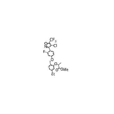 CCc1ccc(COc2ccc(-c3noc(C(F)(F)F)c3Cl)c(F)c2)c(OC(C)C(=O)OC)c1